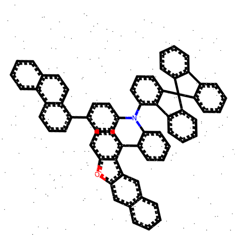 c1ccc(N(c2ccc(-c3cccc4c3ccc3ccccc34)cc2)c2cccc3c2-c2ccccc2C32c3ccccc3-c3ccccc32)c(-c2cccc3oc4cc5ccccc5cc4c23)c1